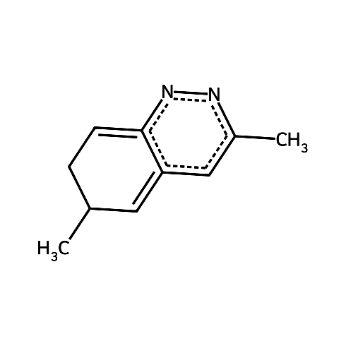 Cc1cc2c(nn1)=CCC(C)C=2